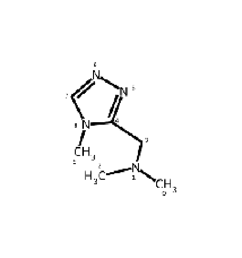 CN(C)Cc1nncn1C